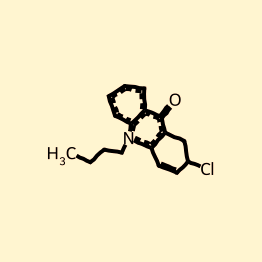 CCCCn1c2c(c(=O)c3ccccc31)CC(Cl)C=C2